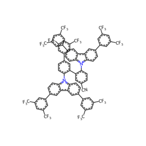 N#Cc1ccc(-n2c3ccc(-c4cc(C(F)(F)F)cc(C(F)(F)F)c4)cc3c3cc(-c4cc(C(F)(F)F)cc(C(F)(F)F)c4)ccc32)c(-c2cc(-c3cc(C(F)(F)F)cc(C(F)(F)F)c3)ccc2-n2c3ccc(-c4cc(C(F)(F)F)cc(C(F)(F)F)c4)cc3c3cc(-c4cc(C(F)(F)F)cc(C(F)(F)F)c4)ccc32)c1